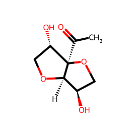 CC(=O)[C@]12OC[C@@H](O)[C@H]1OC[C@@H]2O